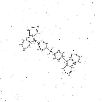 CC(C)(c1ccc(-n2c3c(c4ccccc42)CCC=C3)cc1)c1ccc(-n2c3c(c4ccccc42)C=CCC3)cc1